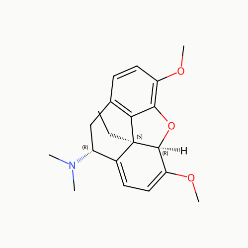 CC[C@@]12C3=CC=C(OC)[C@@H]1Oc1c(OC)ccc(c12)C[C@H]3N(C)C